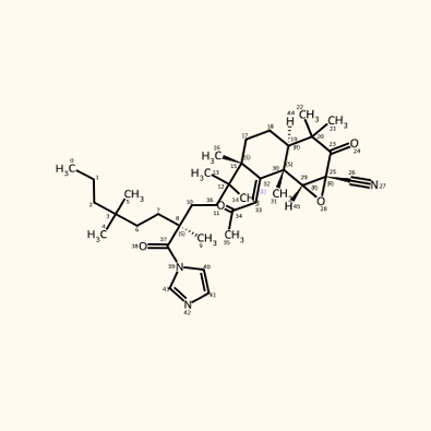 CCCC(C)(C)CC[C@@](C)(CCC(C)(C)[C@]1(C)CC[C@H]2C(C)(C)C(=O)[C@]3(C#N)O[C@@H]3[C@]2(C)/C1=C/C(C)=O)C(=O)n1ccnc1